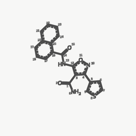 NC(=O)c1c(-c2ccsc2)noc1NC(=O)c1cccc2ccccc12